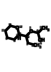 CCC(OC(C)O)[SiH]1CCCCO1